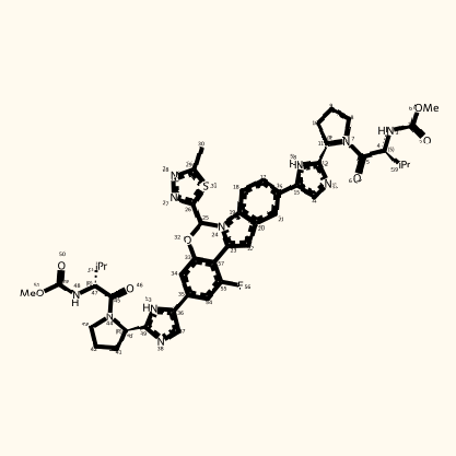 COC(=O)N[C@H](C(=O)N1CCC[C@@H]1c1ncc(-c2ccc3c(c2)cc2n3C(c3nnc(C)s3)Oc3cc(-c4cnc([C@H]5CCCN5C(=O)[C@H](NC(=O)OC)C(C)C)[nH]4)cc(F)c3-2)[nH]1)C(C)C